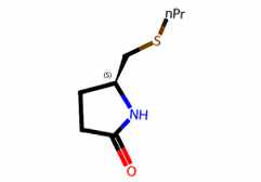 CCCSC[C@@H]1CCC(=O)N1